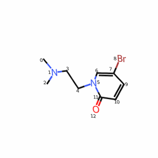 CN(C)CCn1cc(Br)ccc1=O